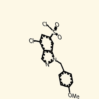 COc1ccc(Cn2ncc3c(Cl)cc(S(=O)(=O)Cl)cc32)cc1